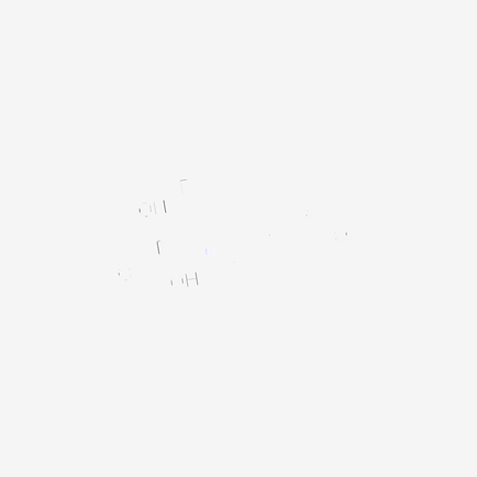 O=C(c1ccccc1)C(/C(=C(\F)P(=O)(O)O)c1ccccc1)(c1ccccc1)c1ccccc1